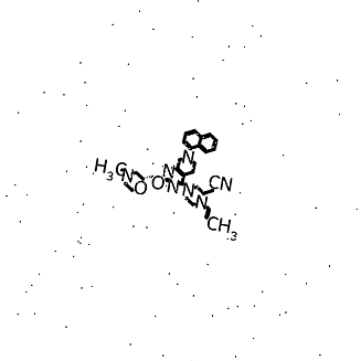 CC=CN1CCN(c2nc(OC[C@H]3CN(C)CCO3)nc3c2CCN(c2cccc4ccccc24)C3)CC1CC#N